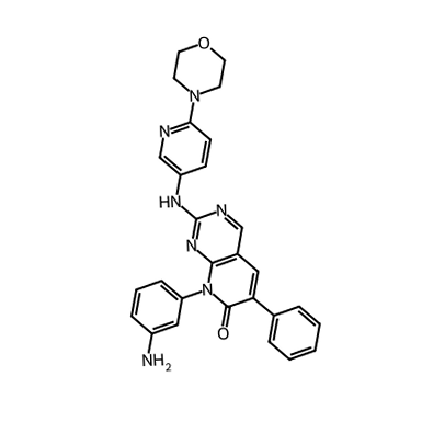 Nc1cccc(-n2c(=O)c(-c3ccccc3)cc3cnc(Nc4ccc(N5CCOCC5)nc4)nc32)c1